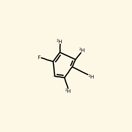 [2H]c1[c]c(F)c([2H])c([2H])c1[2H]